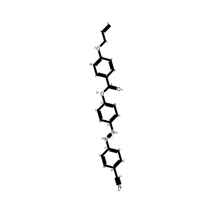 C=CCOc1ccc(C(=O)Oc2ccc(/N=N/c3ccc(C#N)cc3)cc2)cc1